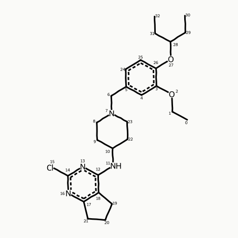 CCOc1cc(CN2CCC(Nc3nc(Cl)nc4c3CCC4)CC2)ccc1OC(CC)CC